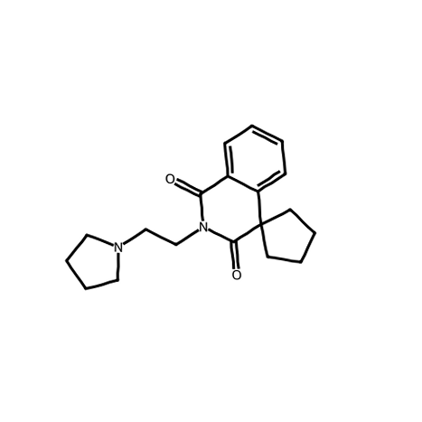 O=C1c2ccccc2C2(CCCC2)C(=O)N1CCN1CCCC1